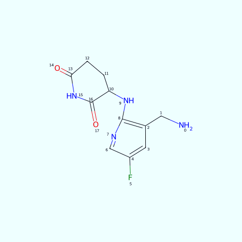 NCc1cc(F)cnc1NC1CCC(=O)NC1=O